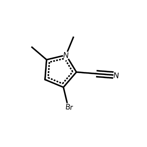 Cc1cc(Br)c(C#N)n1C